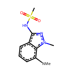 CNc1cccc2c(NS(C)(=O)=O)nn(C)c12